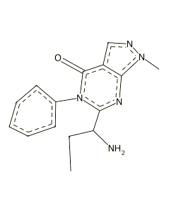 CCC(N)c1nc2c(cnn2C)c(=O)n1-c1ccccc1